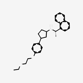 CCOCCOc1ccc(C2CCC(N[C@H](C)c3cccc4ccccc34)C2)cc1